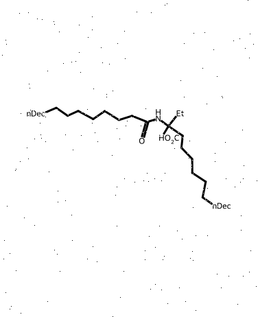 CCCCCCCCCCCCCCCCCC(=O)NC(CC)(CCCCCCCCCCCCCCCC)C(=O)O